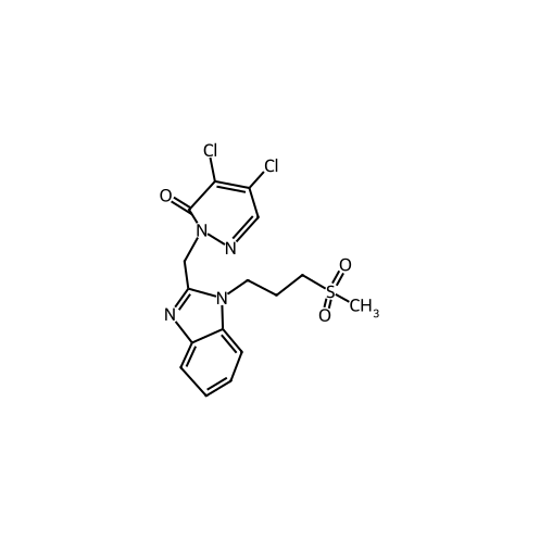 CS(=O)(=O)CCCn1c(Cn2ncc(Cl)c(Cl)c2=O)nc2ccccc21